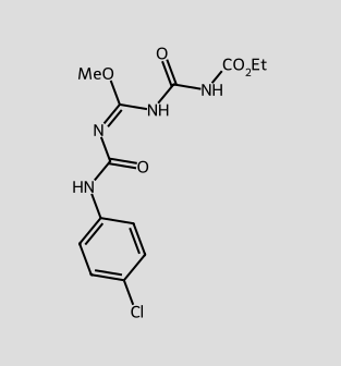 CCOC(=O)NC(=O)N/C(=N\C(=O)Nc1ccc(Cl)cc1)OC